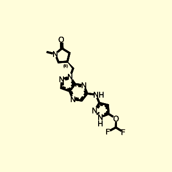 CN1C[C@H](Cn2ncc3ncc(Nc4cc(OC(F)F)[nH]n4)nc32)CC1=O